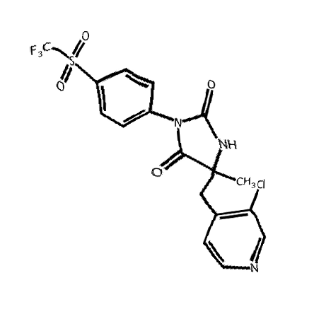 CC1(Cc2ccncc2Cl)NC(=O)N(c2ccc(S(=O)(=O)C(F)(F)F)cc2)C1=O